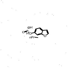 CCCC.O=[PH](O)Oc1ccc2ccoc2c1